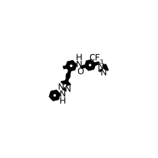 Cc1ccc(NC(=O)c2ccc(Cn3ccnc3)c(C(F)(F)F)c2)cc1C#Cc1cnc(Nc2ccccc2)nc1